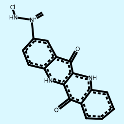 C=[N+](NCl)c1ccc2[nH]c3c(=O)c4ccccc4[nH]c3c(=O)c2c1